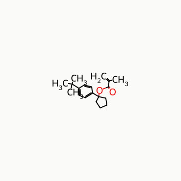 C=C(C)C(=O)OC1(c2ccc(C(C)(C)C)cc2)CCCC1